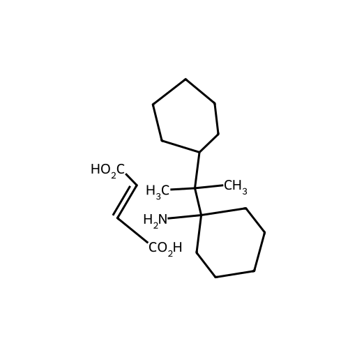 CC(C)(C1CCCCC1)C1(N)CCCCC1.O=C(O)C=CC(=O)O